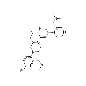 CC(C)c1ccc(N2CCOC(CC(C)c3ccc(N4CCOC[C@H]4CN(C)C)cn3)C2)c(CN(C)C)n1